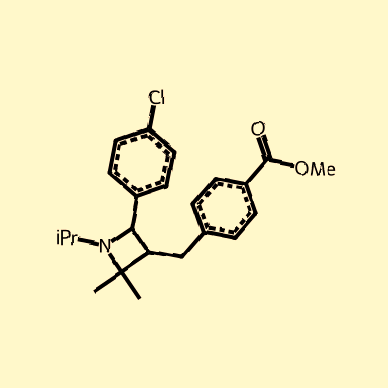 COC(=O)c1ccc(CC2C(c3ccc(Cl)cc3)N(C(C)C)C2(C)C)cc1